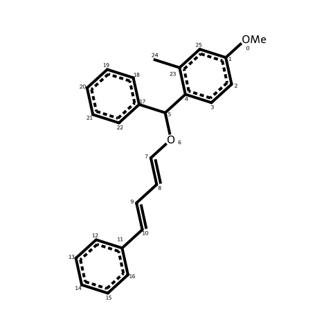 COc1ccc(C(OC=CC=Cc2ccccc2)c2ccccc2)c(C)c1